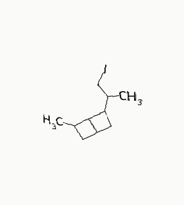 CC(CI)C1CC2CC(C)C21